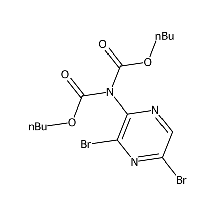 CCCCOC(=O)N(C(=O)OCCCC)c1ncc(Br)nc1Br